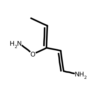 C/C=C(/C=C/N)ON